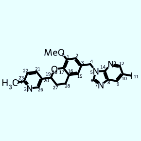 COc1cc(Cn2cnc3cc(I)cnc32)cc2c1OC(c1ccc(C)nc1)CC2